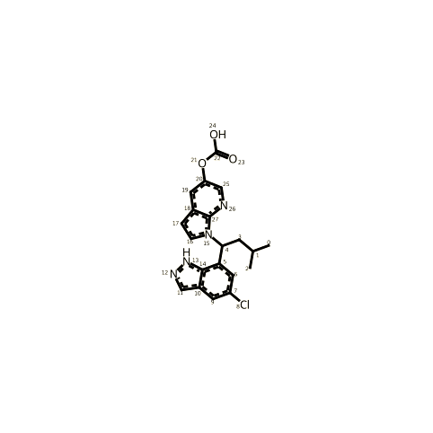 CC(C)CC(c1cc(Cl)cc2cn[nH]c12)n1ccc2cc(OC(=O)O)cnc21